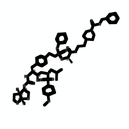 COc1ccc(S(=O)(=O)N(CC(C)C)C[C@@H](O)[C@H](Cc2ccc(CCP(=O)(Oc3ccccc3)O[C@@H](C)C(=O)OCCC3CCN(C(=O)OCc4ccccc4)CC3)cc2)NC(=O)O[C@H]2CO[C@H]3OCC[C@H]32)cc1